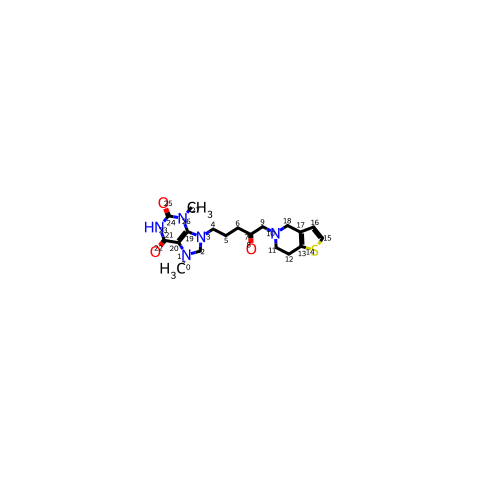 CN1CN(CCCC(=O)CN2CCc3sccc3C2)c2c1c(=O)[nH]c(=O)n2C